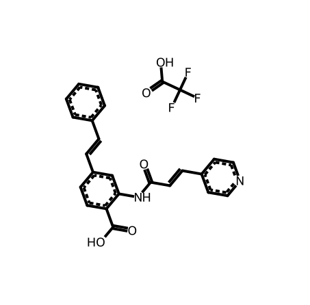 O=C(/C=C/c1ccncc1)Nc1cc(C=Cc2ccccc2)ccc1C(=O)O.O=C(O)C(F)(F)F